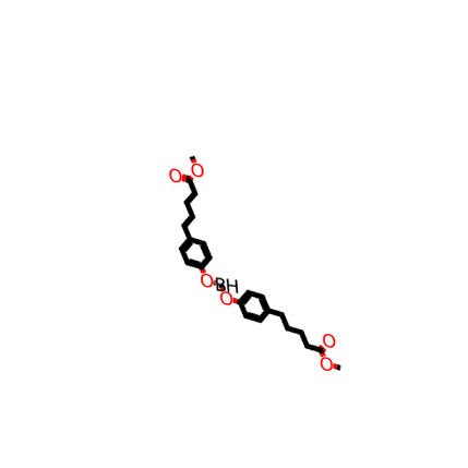 COC(=O)CCCCc1ccc(OBOc2ccc(CCCCC(=O)OC)cc2)cc1